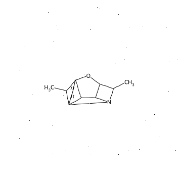 CC1C2OC34C=CC=CC5(C3C)C4C2N15